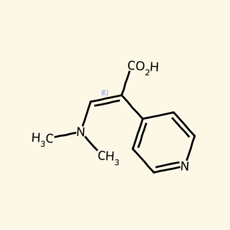 CN(C)/C=C(/C(=O)O)c1ccncc1